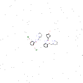 COc1ccc(C(=O)Nc2ccccc2CCC2CCCCN2C)cc1.O=C(NCC1CCCCN1)c1cc(OCC(F)(F)F)ccc1OCC(F)(F)F